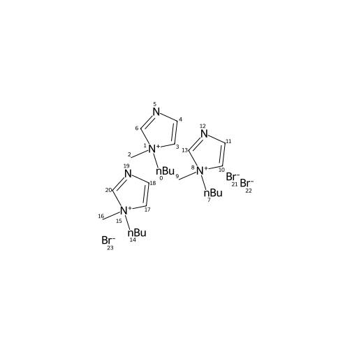 CCCC[N+]1(C)C=CN=C1.CCCC[N+]1(C)C=CN=C1.CCCC[N+]1(C)C=CN=C1.[Br-].[Br-].[Br-]